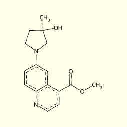 COC(=O)c1ccnc2ccc(N3CC[C@@](C)(O)C3)cc12